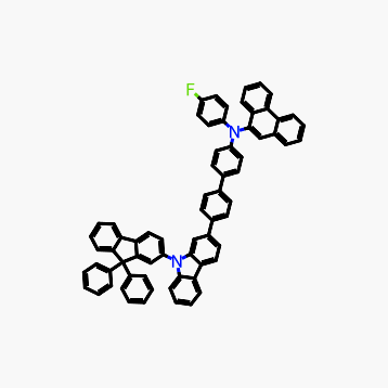 Fc1ccc(N(c2ccc(-c3ccc(-c4ccc5c6ccccc6n(-c6ccc7c(c6)C(c6ccccc6)(c6ccccc6)c6ccccc6-7)c5c4)cc3)cc2)c2cc3ccccc3c3ccccc23)cc1